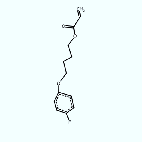 C=CC(=O)OCCCCOc1ccc(F)cc1